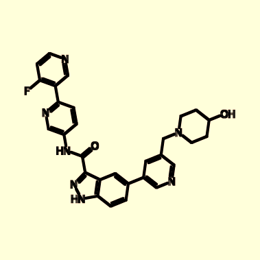 O=C(Nc1ccc(-c2cnccc2F)nc1)c1n[nH]c2ccc(-c3cncc(CN4CCC(O)CC4)c3)cc12